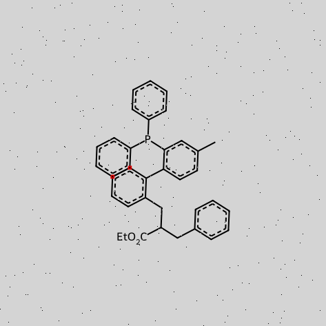 CCOC(=O)C(Cc1ccccc1)Cc1ccccc1-c1ccc(C)cc1P(c1ccccc1)c1ccccc1